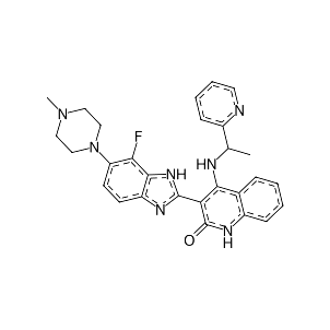 CC(Nc1c(-c2nc3ccc(N4CCN(C)CC4)c(F)c3[nH]2)c(=O)[nH]c2ccccc12)c1ccccn1